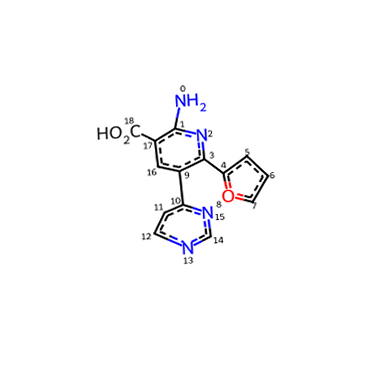 Nc1nc(-c2ccco2)c(-c2ccncn2)cc1C(=O)O